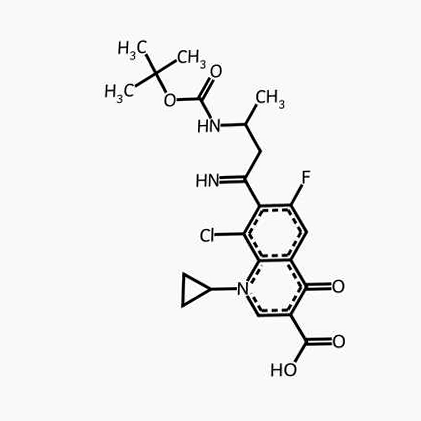 CC(CC(=N)c1c(F)cc2c(=O)c(C(=O)O)cn(C3CC3)c2c1Cl)NC(=O)OC(C)(C)C